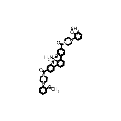 COc1ccccc1N1CCN(C(=O)c2ccc(-c3cccc(-c4ccc(C(=O)N5CCN(c6ccccc6OC)CC5)cc4)c3S(N)(=O)=O)cc2)CC1